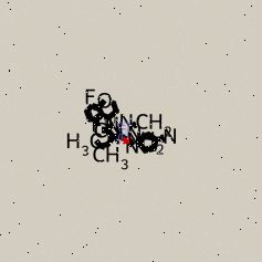 C=C(/N=C1\C(=C/N)N(CC(C)C)C(=O)N1[C@@H]1CCOc2c(F)ccc(F)c21)n1cnc2ccc(C#N)cc21